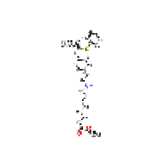 CCOC(=O)C(Cc1ccc(CCNCCCCCCCC(=O)OC(C)(C)C)cc1)Sc1ccccc1